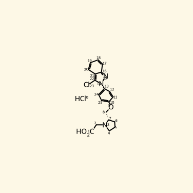 Cl.O=C(O)CN1CCC[C@H]1COc1ccc(-n2nc3ccccc3c2Cl)cc1